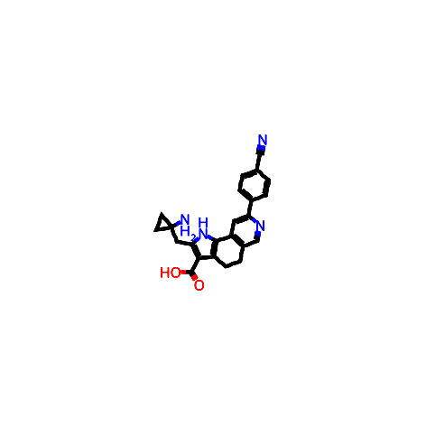 N#Cc1ccc(-c2cc3c(cn2)CCc2c-3[nH]c(CC3(N)CC3)c2C(=O)O)cc1